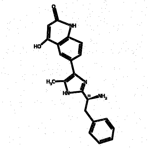 Cc1[nH]c([C@@H](N)Cc2ccccc2)nc1-c1ccc2[nH]c(=O)cc(O)c2c1